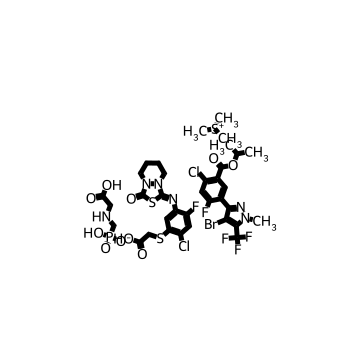 CC(C)OC(=O)c1cc(-c2nn(C)c(C(F)(F)F)c2Br)c(F)cc1Cl.C[S+](C)C.O=C(O)CNCP(=O)([O-])O.O=C(O)CSc1cc(N=c2sc(=O)n3n2CCCC3)c(F)cc1Cl